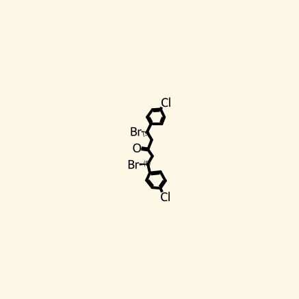 O=C(C[C@H](Br)c1ccc(Cl)cc1)C[C@H](Br)c1ccc(Cl)cc1